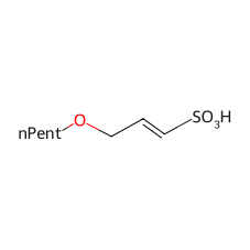 CCCCCOCC=CS(=O)(=O)O